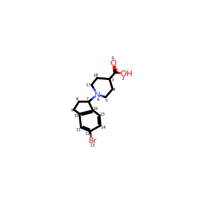 O=C(O)C1CCN(C2CCc3cc(Br)ccc32)CC1